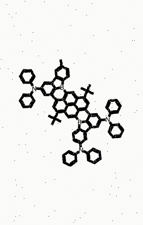 Cc1ccc2c(c1)-c1cc(N(c3ccccc3)c3ccccc3)cc3c1B2c1cc2c(C(C)(C)C)cc4c5c(cc6c(C(C)(C)C)cc-3c1c6c25)B1c2ccc(N(c3ccccc3)c3ccccc3)cc2-c2cc(N(c3ccccc3)c3ccccc3)cc-4c21